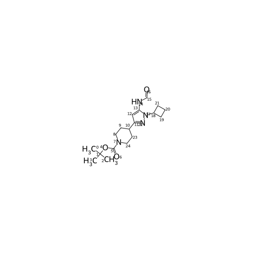 CC(C)(C)OC(=O)N1CCC(c2cc(NC=O)n(C3CCC3)n2)CC1